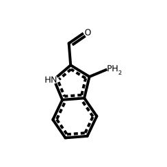 O=Cc1[nH]c2ccccc2c1P